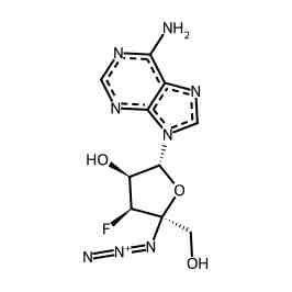 [N-]=[N+]=N[C@]1(CO)O[C@@H](n2cnc3c(N)ncnc32)[C@H](O)[C@@H]1F